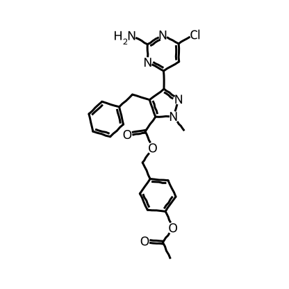 CC(=O)Oc1ccc(COC(=O)c2c(Cc3ccccc3)c(-c3cc(Cl)nc(N)n3)nn2C)cc1